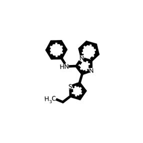 CCc1ccc(-c2nc3ccccn3c2Nc2ccccc2)s1